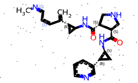 C=C(/C=C\C=N/C)[C@H]1CC1NC(=O)[C@@H]1CNC[C@H]1C(=O)N[C@H]1C[C@@H]1c1cccnc1